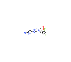 CC[C@](O)(c1ccc(F)cc1F)[C@@H](C)N1CCn2nc(-c3ccc(C#N)nc3)nc2C1